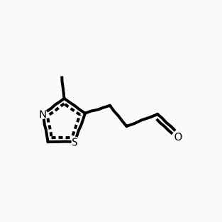 Cc1ncsc1CCC=O